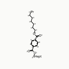 CCCCCCCOC(=O)c1ccc(C(=O)OCCCCCCC(C)C)cc1